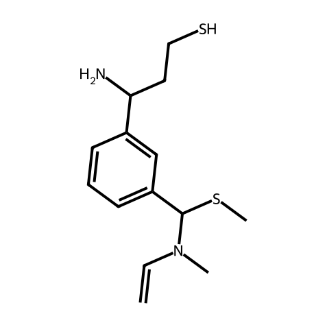 C=CN(C)C(SC)c1cccc(C(N)CCS)c1